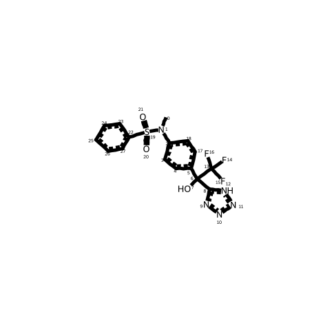 CN(c1ccc(C(O)(c2nnn[nH]2)C(F)(F)F)cc1)S(=O)(=O)c1ccccc1